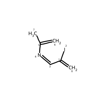 C=C(I)/C=N\C(=C)C